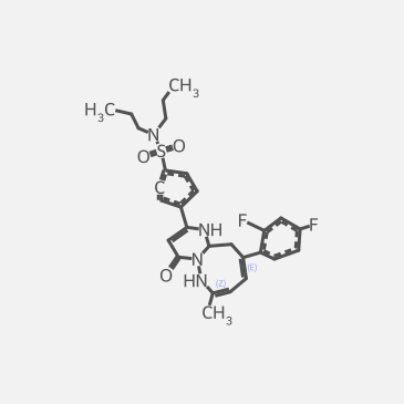 CCCN(CCC)S(=O)(=O)c1ccc(C2=CC(=O)N3N/C(C)=C\C=C(\c4ccc(F)cc4F)CC3N2)cc1